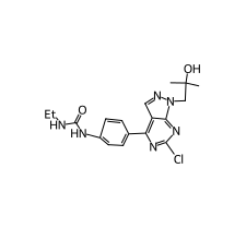 CCNC(=O)Nc1ccc(-c2nc(Cl)nc3c2cnn3CC(C)(C)O)cc1